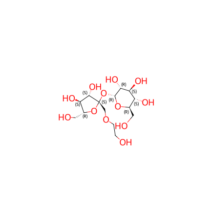 OCCOC[C@@]1(O[C@H]2O[C@H](CO)[C@@H](O)[C@H](O)[C@H]2O)O[C@H](CO)[C@@H](O)[C@@H]1O